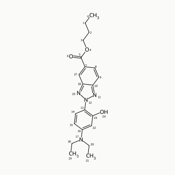 CCCCOC(=O)c1ccc2nn(-c3ccc(N(CC)CC)cc3O)nc2c1